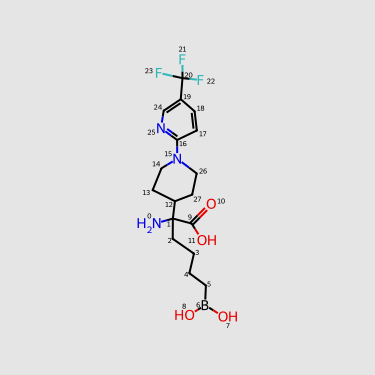 NC(CCCCB(O)O)(C(=O)O)C1CCN(c2ccc(C(F)(F)F)cn2)CC1